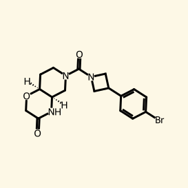 O=C1CO[C@H]2CCN(C(=O)N3CC(c4ccc(Br)cc4)C3)C[C@H]2N1